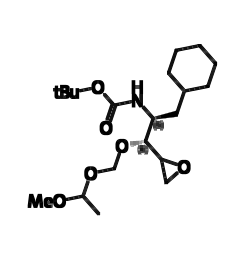 COC(C)OCO[C@@H](C1CO1)[C@H](CC1CCCCC1)NC(=O)OC(C)(C)C